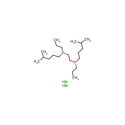 Br.Br.CCCP(CCCC(C)C)CCP(CCC)CCCC(C)C